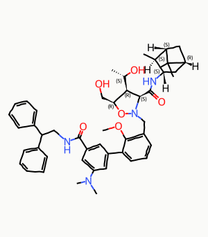 COc1c(CN2O[C@@H](CO)[C@@H]([C@H](C)O)[C@H]2C(=O)N[C@H]2C[C@H]3C[C@@H]([C@@H]2C)C3(C)C)cccc1-c1cc(C(=O)NCC(c2ccccc2)c2ccccc2)cc(N(C)C)c1